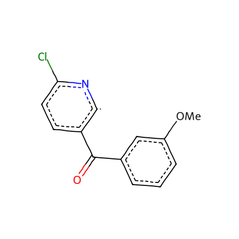 COc1cccc(C(=O)c2[c]nc(Cl)cc2)c1